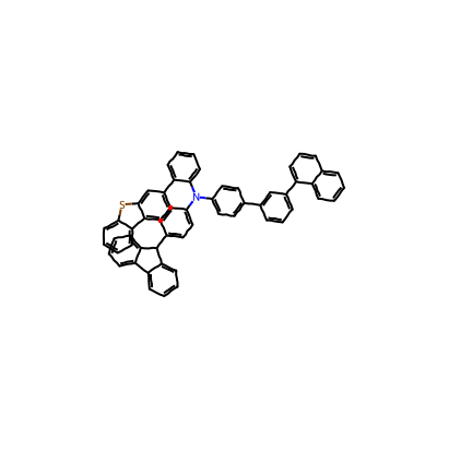 c1cc(-c2ccc(N(c3ccc(C4c5ccccc5-c5ccccc54)cc3)c3ccccc3-c3ccc4c(c3)sc3ccccc34)cc2)cc(-c2cccc3ccccc23)c1